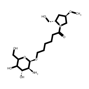 CO[C@@H]1C[C@@H](CO)N(C(=O)CCCCCO[C@@H]2OC(CO)C(O)[C@@H](O)[C@@H]2N)C1